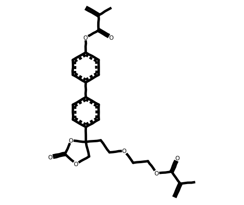 C=C(C)C(=O)OCCOCCC1(c2ccc(-c3ccc(OC(=O)C(=C)C)cc3)cc2)COC(=O)O1